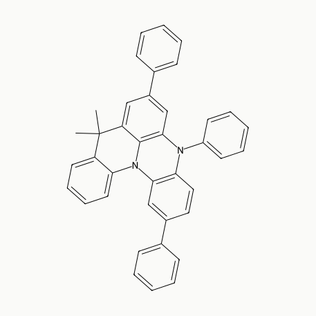 CC1(C)c2ccccc2N2c3cc(-c4ccccc4)ccc3N(c3ccccc3)c3cc(-c4ccccc4)cc1c32